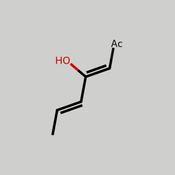 C/C=C/C(O)=C/C(C)=O